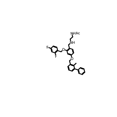 CC(=O)NCCNCc1ccc(OCc2cccc(-c3ccccc3)c2C)cc1OCc1ccc(F)cc1F